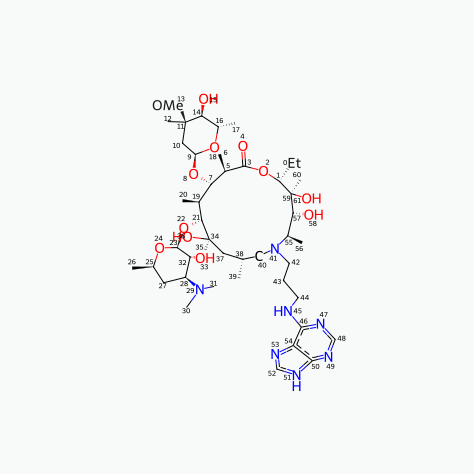 CC[C@H]1OC(=O)[C@H](C)[C@@H](O[C@H]2C[C@@](C)(OC)[C@@H](O)[C@H](C)O2)[C@H](C)[C@@H](O[C@@H]2O[C@H](C)C[C@H](N(C)C)[C@H]2O)[C@](C)(O)C[C@@H](C)CN(CCCNc2ncnc3[nH]cnc23)[C@H](C)[C@@H](O)[C@]1(C)O